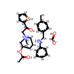 CC(=O)OC1C[N+]2(CC(=O)c3cccs3)CCC1CC2.Cc1ccc(CNc2ccccc2)cc1.O=C[O-]